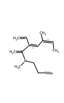 C=C/C(=C\C(C)=C/C)C(=C)N(C)CCNC